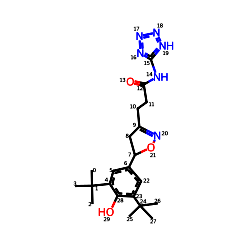 CC(C)(C)c1cc(C2CC(CCC(=O)Nc3nnn[nH]3)=NO2)cc(C(C)(C)C)c1O